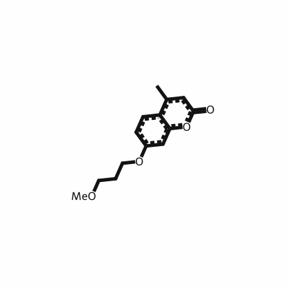 COCCCOc1ccc2c(C)cc(=O)oc2c1